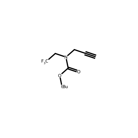 C#CCN(CC(F)(F)F)C(=O)OC(C)(C)C